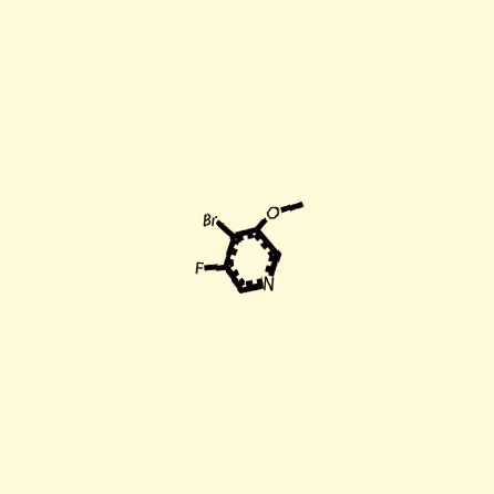 COc1cncc(F)c1Br